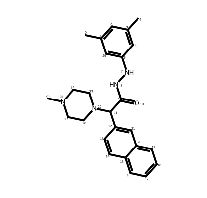 Cc1cc(C)cc(NNC(=O)C(c2ccc3ccccc3c2)N2CCN(C)CC2)c1